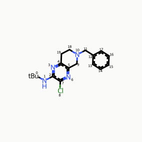 CC(C)(C)Nc1nc2c(nc1Cl)CN(Cc1ccccc1)CC2